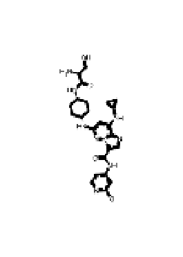 N[C@@H](CO)C(=O)N[C@H]1CC[C@H](Nc2cc(NC3CC3)c3ncc(C(=O)Nc4ccnc(Cl)c4)n3n2)CC1